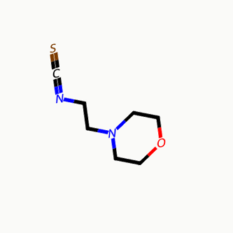 S=C=NCCN1CCOCC1